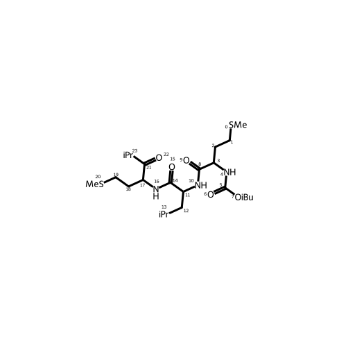 CSCCC(NC(=O)OCC(C)C)C(=O)NC(CC(C)C)C(=O)NC(CCSC)C(=O)C(C)C